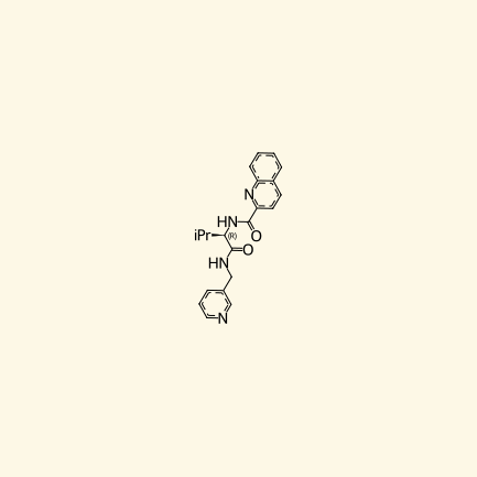 CC(C)[C@@H](NC(=O)c1ccc2ccccc2n1)C(=O)NCc1cccnc1